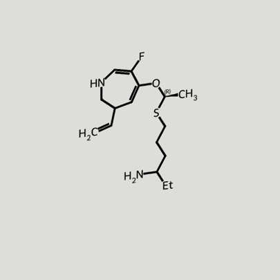 C=CC1C=C(O[C@@H](C)SCCCC(N)CC)C(F)=CNC1